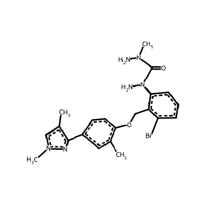 Cc1cc(-c2nn(C)cc2C)ccc1OCc1c(Br)cccc1N(N)C(=O)N(C)N